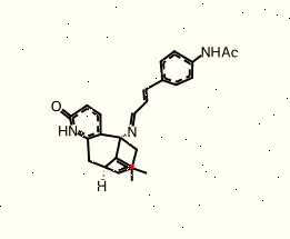 C/C=C1\[C@H]2C=C(C)C[C@]1(/N=C/C=C/c1ccc(NC(C)=O)cc1)c1ccc(=O)[nH]c1C2